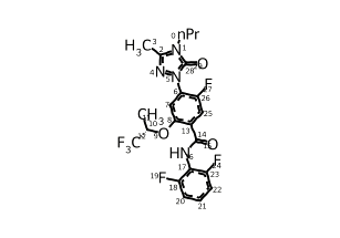 CCCn1c(C)nn(-c2cc(O[C@@H](C)C(F)(F)F)c(C(=O)Nc3c(F)cccc3F)cc2F)c1=O